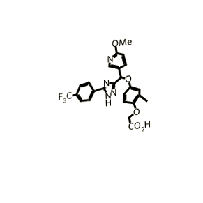 COc1ccc(C(Oc2ccc(OCC(=O)O)c(C)c2)c2n[nH]c(-c3ccc(C(F)(F)F)cc3)n2)cn1